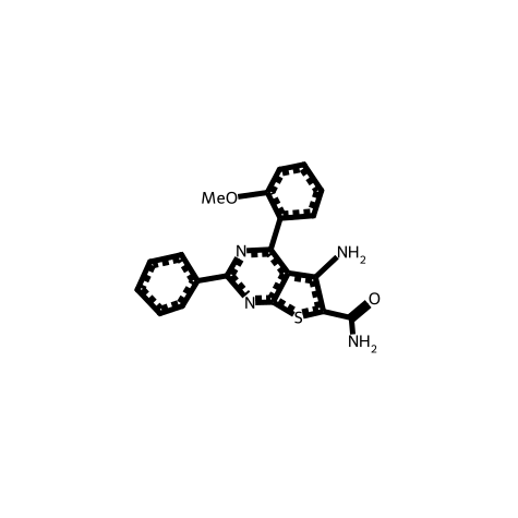 COc1ccccc1-c1nc(-c2ccccc2)nc2sc(C(N)=O)c(N)c12